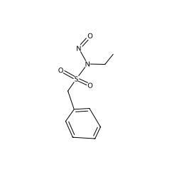 CCN(N=O)S(=O)(=O)Cc1ccccc1